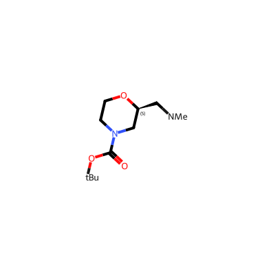 CNC[C@H]1CN(C(=O)OC(C)(C)C)CCO1